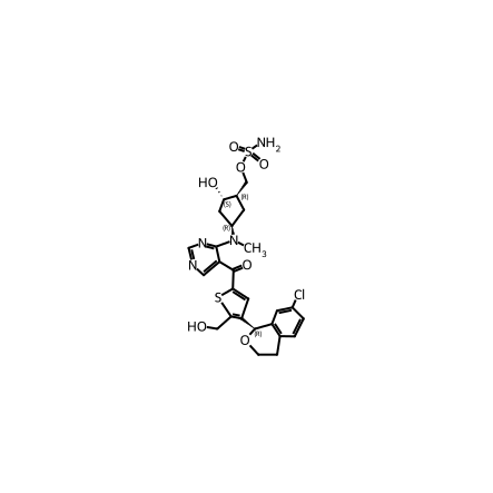 CN(c1ncncc1C(=O)c1cc([C@@H]2OCCc3ccc(Cl)cc32)c(CO)s1)[C@@H]1C[C@H](COS(N)(=O)=O)[C@@H](O)C1